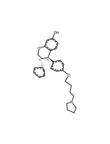 Oc1ccc2c(c1)OC[C@@H](c1ccccc1)[C@@H]2c1ccc(OCCCCN2CCCC2)cc1